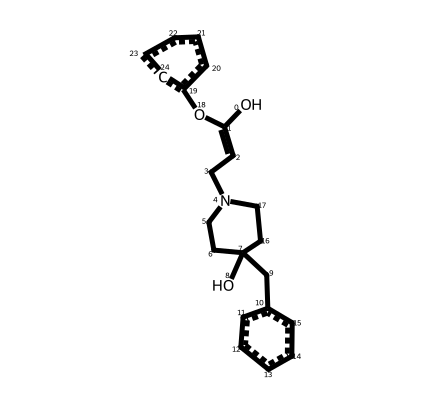 OC(=CCN1CCC(O)(Cc2ccccc2)CC1)Oc1ccccc1